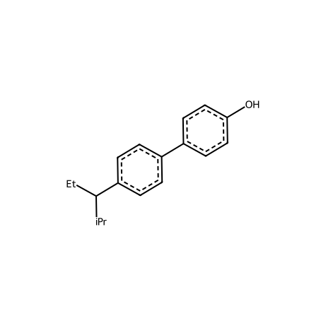 CCC(c1ccc(-c2ccc(O)cc2)cc1)C(C)C